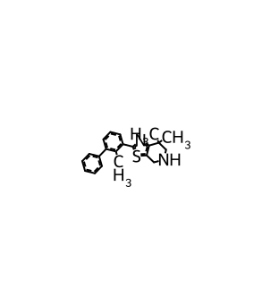 Cc1c(-c2ccccc2)cccc1-c1nc2c(s1)CNCC2(C)C